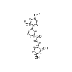 COc1ccc(-c2cccc(C(=O)NCc3ccc(O)cc3O)c2)c(OC)c1